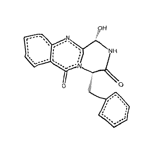 O=C1N[C@@H](O)c2nc3ccccc3c(=O)n2[C@H]1Cc1ccccc1